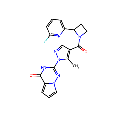 Cc1c(C(=O)N2CCC2c2cccc(F)n2)cnn1-c1nn2cccc2c(=O)[nH]1